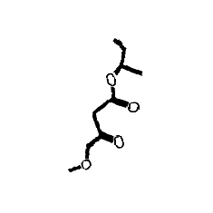 CCC(C)OC(=O)CC(=O)COC